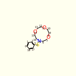 c1ccc(SN2CCOCCOCCOCC2)cc1